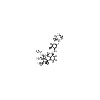 CNC(=O)C(O)(CCC=O)N1C(=O)c2cccc(OCc3ccc(CN4CCOCC4)cc3F)c2C1(O)O